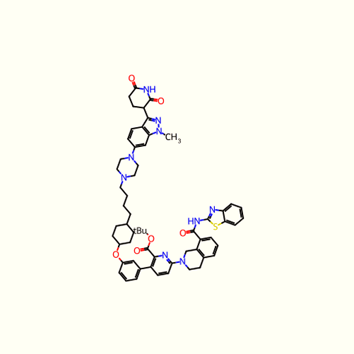 Cn1nc(C2CCC(=O)NC2=O)c2ccc(N3CCN(CCCCC4CCC(Oc5cccc(-c6ccc(N7CCc8cccc(C(=O)Nc9nc%10ccccc%10s9)c8C7)nc6C(=O)OC(C)(C)C)c5)CC4)CC3)cc21